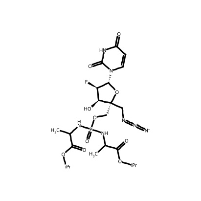 CC(C)OC(=O)C(C)NP(=O)(NC(C)C(=O)OC(C)C)OC[C@@]1(CN=[N+]=[N-])O[C@@H](n2ccc(=O)[nH]c2=O)[C@H](F)[C@@H]1O